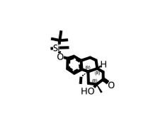 CC[C@@]12C[C@@](C)(O)C(=O)C[C@H]1CCc1cc(O[Si](C)(C)C(C)(C)C)ccc12